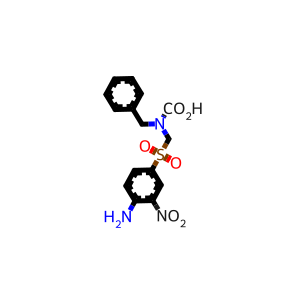 Nc1ccc(S(=O)(=O)CN(Cc2ccccc2)C(=O)O)cc1[N+](=O)[O-]